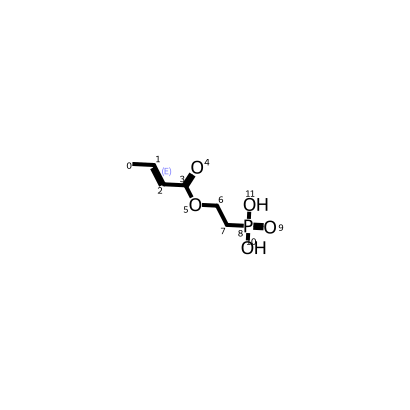 C/C=C/C(=O)OCCP(=O)(O)O